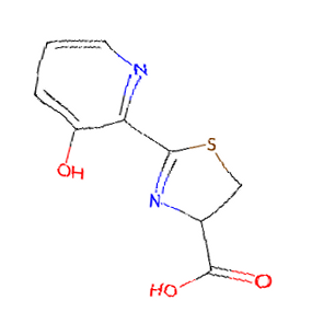 O=C(O)C1CSC(c2ncccc2O)=N1